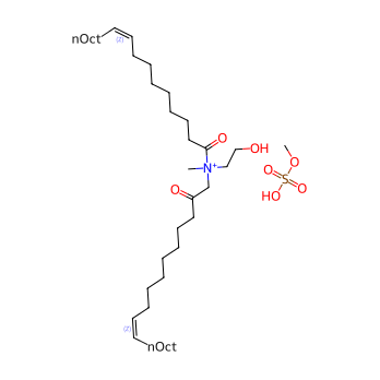 CCCCCCCC/C=C\CCCCCCCC(=O)C[N+](C)(CCO)C(=O)CCCCCCC/C=C\CCCCCCCC.COS(=O)(=O)O